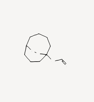 O=[C]OC12CCCCC(CCC1)CC2